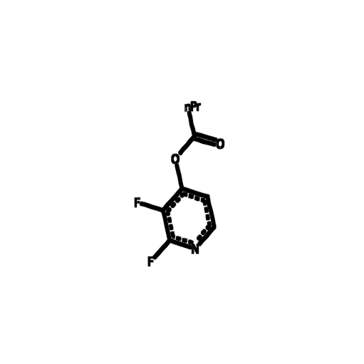 CCCC(=O)Oc1ccnc(F)c1F